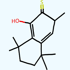 CC1C=C2C(=C(O)C1=S)C(C)(C)CCC2(C)C